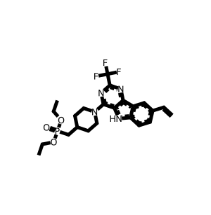 C=Cc1ccc2[nH]c3c(N4CCC(CP(=O)(OCC)OCC)CC4)nc(C(F)(F)F)nc3c2c1